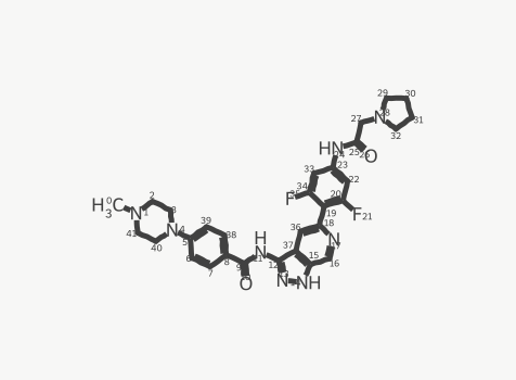 CN1CCN(c2ccc(C(=O)Nc3n[nH]c4cnc(-c5c(F)cc(NC(=O)CN6CCCC6)cc5F)cc34)cc2)CC1